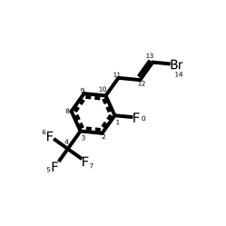 Fc1cc(C(F)(F)F)ccc1CC=CBr